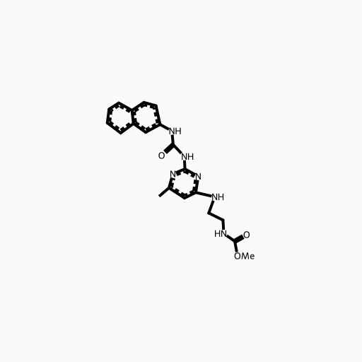 COC(=O)NCCNc1cc(C)nc(NC(=O)Nc2ccc3ccccc3c2)n1